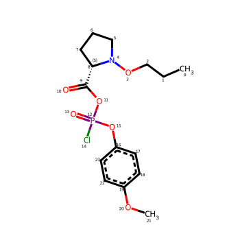 CCCON1CCC[C@H]1C(=O)OP(=O)(Cl)Oc1ccc(OC)cc1